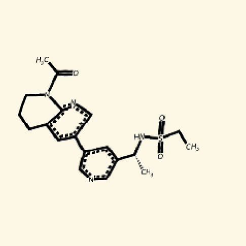 CCS(=O)(=O)N[C@H](C)c1cncc(-c2cnc3c(c2)CCCN3C(C)=O)c1